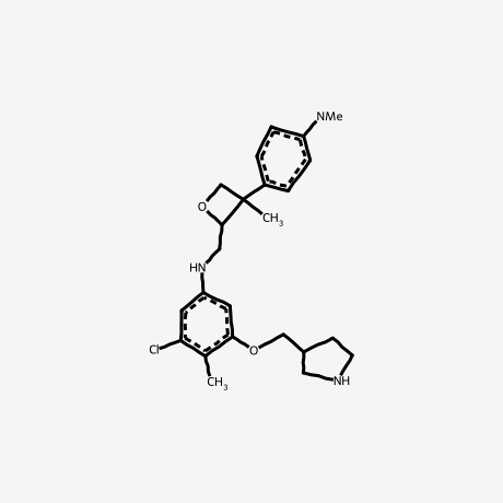 CNc1ccc(C2(C)COC2CNc2cc(Cl)c(C)c(OCC3CCNC3)c2)cc1